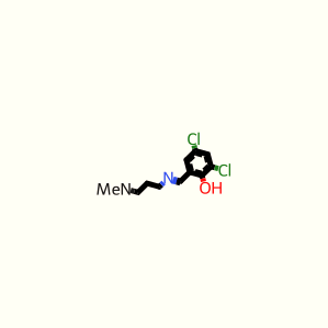 CNCCCN=Cc1cc(Cl)cc(Cl)c1O